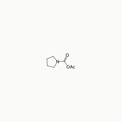 CC(=O)OC(=O)N1CCCC1